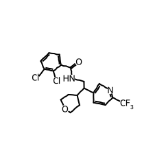 O=C(NCC(c1ccc(C(F)(F)F)nc1)C1CCOCC1)c1cccc(Cl)c1Cl